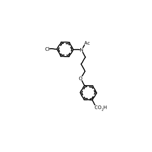 CC(=O)N(CCCOc1ccc(C(=O)O)cc1)c1ccc(Cl)cc1